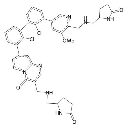 COc1cc(-c2cccc(-c3cccc(-c4ccn5c(=O)c(CNCC6CCC(=O)N6)cnc5c4)c3Cl)c2Cl)cnc1CNCC1CCC(=O)N1